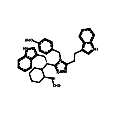 COc1ccc(Cn2c(CCc3c[nH]c4ccccc34)nnc2[C@@H](Cc2c[nH]c3ccccc23)N2CCCC[C@@H]2N[C]=O)cc1